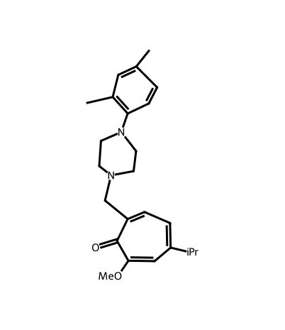 COc1cc(C(C)C)ccc(CN2CCN(c3ccc(C)cc3C)CC2)c1=O